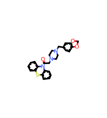 O=C(CN1CCN(Cc2ccc3c(c2)OCO3)CC1)N1c2ccccc2Sc2ccccc21